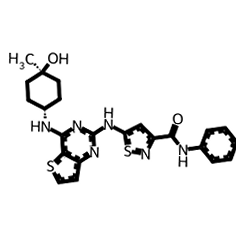 C[C@]1(O)CC[C@H](Nc2nc(Nc3cc(C(=O)Nc4ccccc4)ns3)nc3ccsc23)CC1